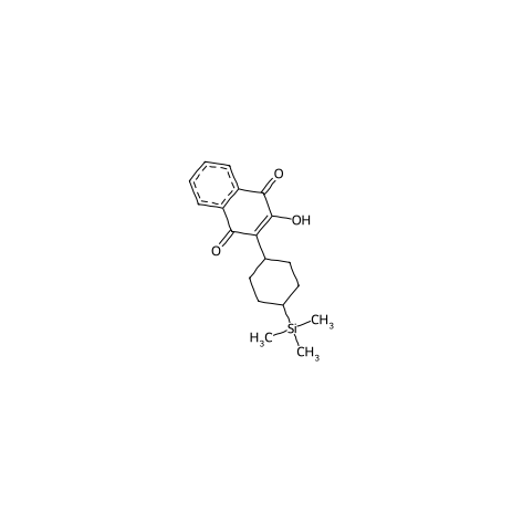 C[Si](C)(C)C1CCC(C2=C(O)C(=O)c3ccccc3C2=O)CC1